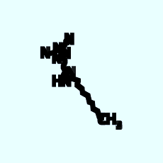 CCCCCCCCCCCc1nc(CCc2nc(C#N)nc(C#N)n2)c[nH]1